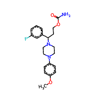 COc1ccc(N2CCN(C(CCOC(N)=O)c3cccc(F)c3)CC2)cc1